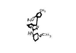 Cc1ccc(-c2nnc(N[C@@H]3CCCN(C)C3)n3cccc23)c(O)c1